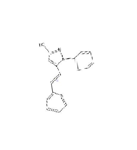 Oc1cc(/C=C/c2ccccn2)n(-c2ccccc2)n1